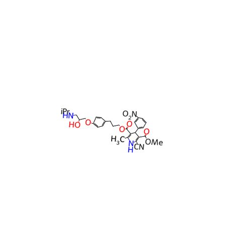 COC(=O)C1=C(C#N)NC(C)=C(C(=O)OCCCc2ccc(OCC(O)CNC(C)C)cc2)C1c1cccc([N+](=O)[O-])c1